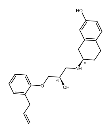 C=CCc1ccccc1OC[C@H](O)CN[C@@H]1CCc2ccc(O)cc2C1